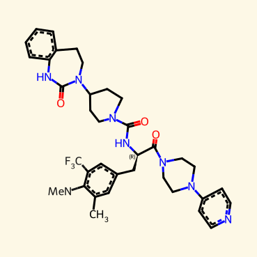 CNc1c(C)cc(C[C@@H](NC(=O)N2CCC(N3CCc4ccccc4NC3=O)CC2)C(=O)N2CCN(c3ccncc3)CC2)cc1C(F)(F)F